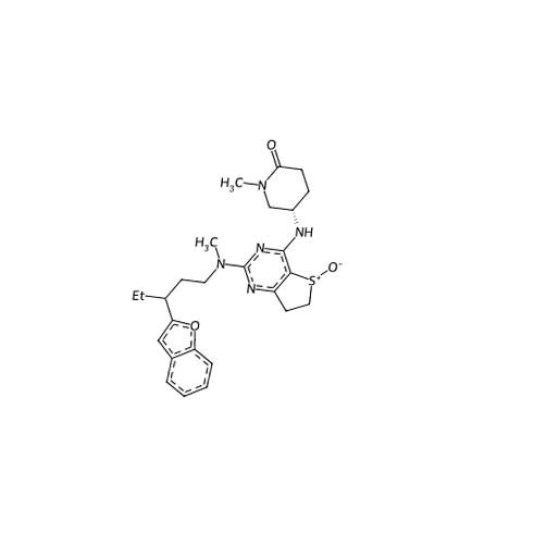 CCC(CCN(C)c1nc2c(c(N[C@H]3CCC(=O)N(C)C3)n1)[S+]([O-])CC2)c1cc2ccccc2o1